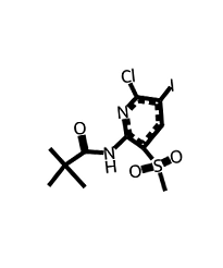 CC(C)(C)C(=O)Nc1nc(Cl)c(I)cc1S(C)(=O)=O